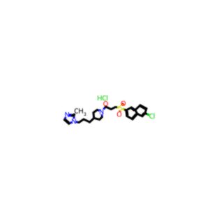 Cc1nccn1CCCC1CCN(C(=O)CCS(=O)(=O)c2ccc3cc(Cl)ccc3c2)CC1.Cl